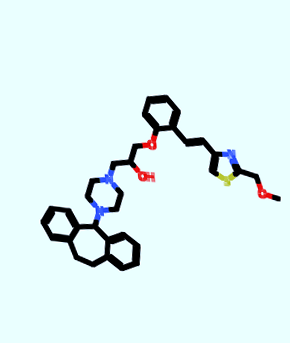 COCc1nc(C=Cc2ccccc2OCC(O)CN2CCN(C3c4ccccc4CCc4ccccc43)CC2)cs1